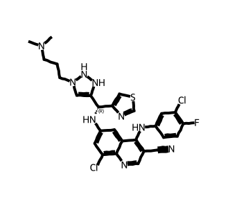 CN(C)CCCN1C=C([C@@H](Nc2cc(Cl)c3ncc(C#N)c(Nc4ccc(F)c(Cl)c4)c3c2)c2cscn2)NN1